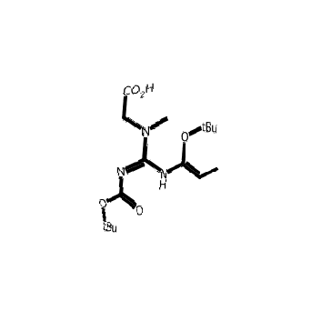 CC=C(N/C(=N\C(=O)OC(C)(C)C)N(C)CC(=O)O)OC(C)(C)C